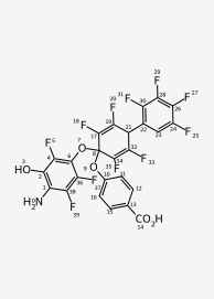 Nc1c(O)c(F)c(OC2(Oc3ccc(C(=O)O)cc3)C(F)=C(F)C(c3cc(F)c(F)c(F)c3F)C(F)=C2F)c(F)c1F